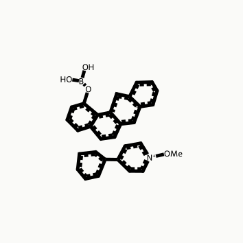 CO[n+]1ccc(-c2ccccc2)cc1.OB(O)Oc1cccc2ccc3cc4ccccc4cc3c12